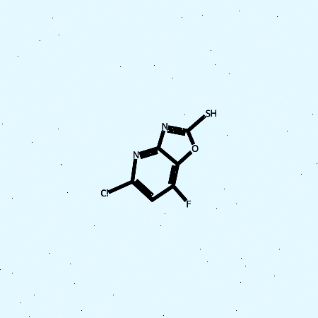 Fc1cc(Cl)nc2nc(S)oc12